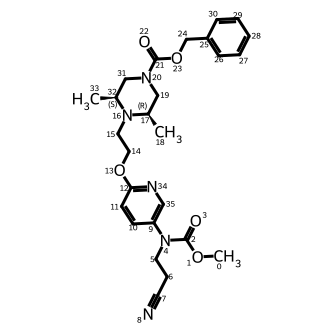 COC(=O)N(CCC#N)c1ccc(OCCN2[C@H](C)CN(C(=O)OCc3ccccc3)C[C@@H]2C)nc1